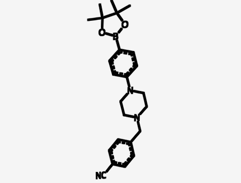 CC1(C)OB(c2ccc(N3CCN(Cc4ccc(C#N)cc4)CC3)cc2)OC1(C)C